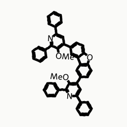 COc1c(-c2ccc3oc4ccc(-c5cc(-c6ccccc6)nc(-c6ccccc6)c5OC)cc4c3c2)cc(-c2ccccc2)nc1-c1ccccc1